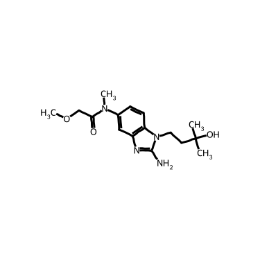 COCC(=O)N(C)c1ccc2c(c1)nc(N)n2CCC(C)(C)O